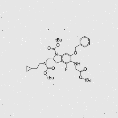 CC(C)(C)OC(=O)CNc1c(OCc2ccccc2)cc2c(c1F)C[C@H](CN(CCC1CC1)C(=O)OC(C)(C)C)N2C(=O)OC(C)(C)C